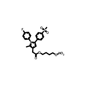 Cc1c(CC(=O)OCCCCO[N+](=O)[O-])cc(-c2ccc(S(C)(=O)=O)cc2)n1-c1ccc(F)cc1